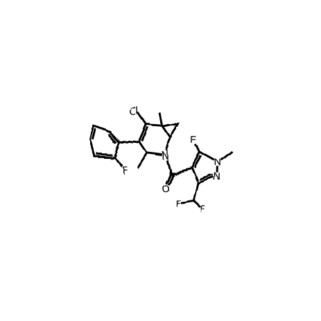 CC1C(c2ccccc2F)=C(Cl)C2(C)CC2N1C(=O)c1c(C(F)F)nn(C)c1F